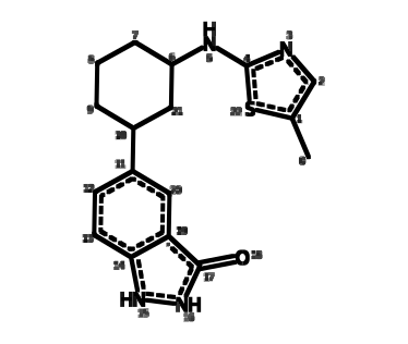 Cc1cnc(NC2CCCC(c3ccc4[nH][nH]c(=O)c4c3)C2)s1